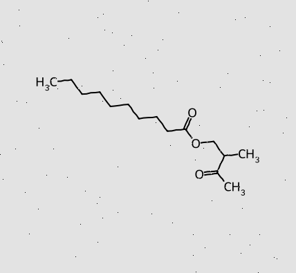 CCCCCCCCCC(=O)OCC(C)C(C)=O